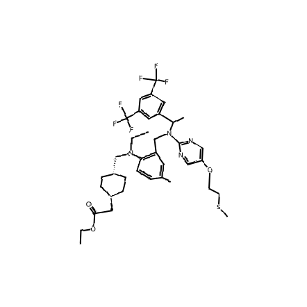 CCOC(=O)C[C@H]1CC[C@H](CN(CC)c2ccc(C)cc2CN(c2ncc(OCCSC)cn2)C(C)c2cc(C(F)(F)F)cc(C(F)(F)F)c2)CC1